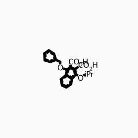 CC(C)Oc1c(C(=O)O)c(C(=O)O)c(OCc2ccccc2)c2ccccc12